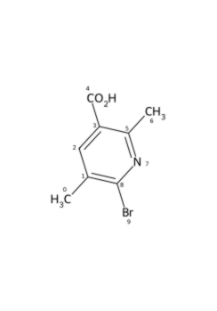 Cc1cc(C(=O)O)c(C)nc1Br